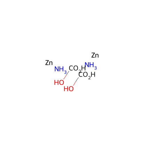 N.N.O=C(O)O.O=C(O)O.[Zn].[Zn]